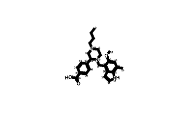 CCCCN1CCN(Cc2c(OC)cc(C)c3[nH]ccc23)C(c2ccc(C(=O)O)cc2)C1